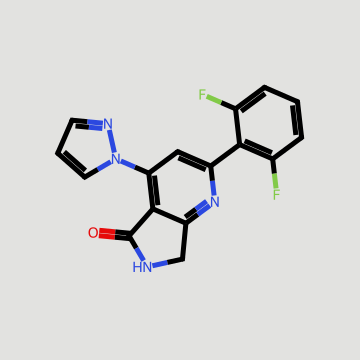 O=C1NCc2nc(-c3c(F)cccc3F)cc(-n3cccn3)c21